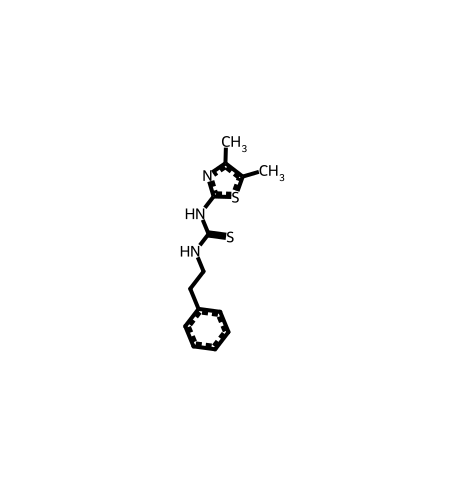 Cc1nc(NC(=S)NCCc2ccccc2)sc1C